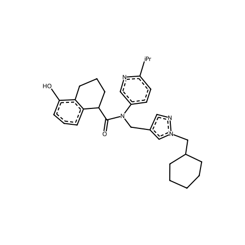 CC(C)c1ccc(N(Cc2cnn(CC3CCCCC3)c2)C(=O)C2CCCc3c(O)cccc32)cn1